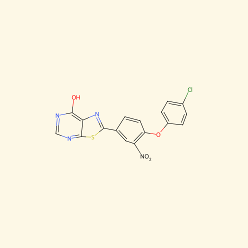 O=[N+]([O-])c1cc(-c2nc3c(O)ncnc3s2)ccc1Oc1ccc(Cl)cc1